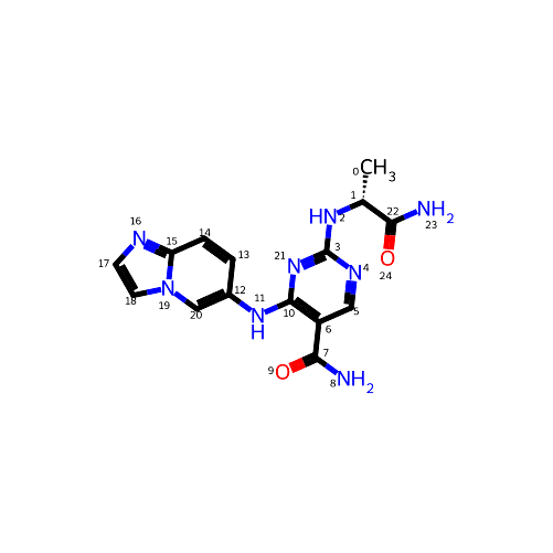 C[C@@H](Nc1ncc(C(N)=O)c(Nc2ccc3nccn3c2)n1)C(N)=O